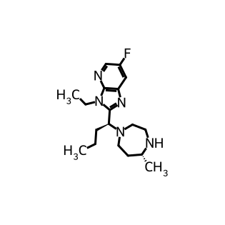 CCC[C@@H](c1nc2cc(F)cnc2n1CC)N1CCN[C@H](C)CC1